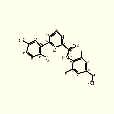 Cc1cc(CCl)cc(C)c1NC(=O)c1nccc(-c2cc(Cl)ccc2Cl)n1